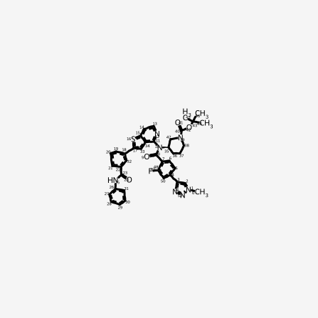 Cn1cc(-c2ccc(C(=O)N(c3nccc4sc(-c5cccc(C(=O)Nc6ccccc6)c5)cc34)[C@@H]3CCCN(C(=O)OC(C)(C)C)C3)c(F)c2)nn1